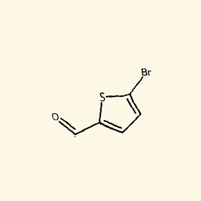 O=[C]c1ccc(Br)s1